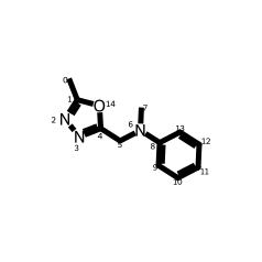 Cc1nnc(CN(C)c2ccccc2)o1